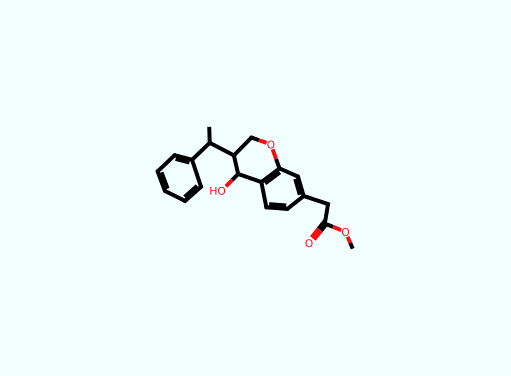 COC(=O)Cc1ccc2c(c1)OCC(C(C)c1ccccc1)C2O